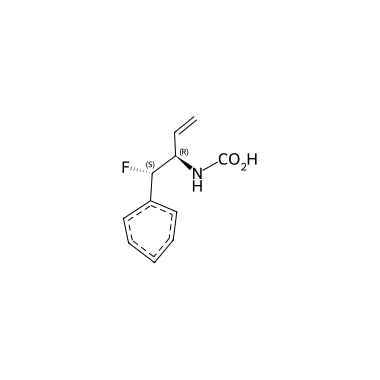 C=C[C@@H](NC(=O)O)[C@@H](F)c1ccccc1